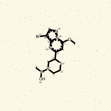 COc1cc(C2CN(B(C)O)CCS2)nc2c(Br)cnn12